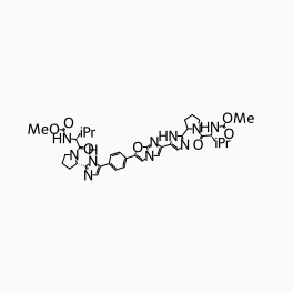 COC(=O)N[C@H](C(=O)N1CCCC1c1ncc(-c2cn3cc(-c4ccc(-c5cnc([C@@H]6CCCN6C(=O)[C@@H](NC(=O)OC)C(C)C)[nH]5)cc4)oc3n2)[nH]1)C(C)C